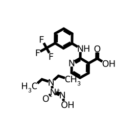 CCN(CC)[N+]([O-])=NO.O=C(O)c1cccnc1Nc1cccc(C(F)(F)F)c1